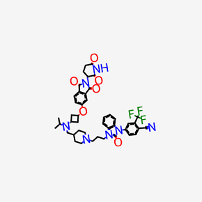 CC(C)N(CC1CCN(CCCn2c(=O)n(-c3ccc(C#N)c(C(F)(F)F)c3)c3ccccc32)CC1)[C@H]1C[C@H](Oc2ccc3c(c2)C(=O)N(C2CCC(=O)NC2=O)C3=O)C1